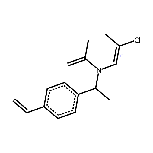 C=Cc1ccc(C(C)N(/C=C(\C)Cl)C(=C)C)cc1